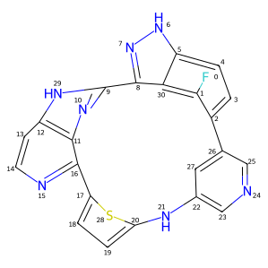 Fc1c2ccc3[nH]nc(c4nc5c(ccnc5c5ccc([nH]c6cncc2c6)s5)[nH]4)c13